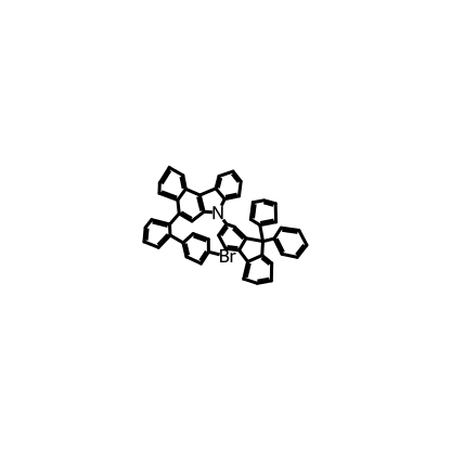 Brc1ccc(-c2ccccc2-c2cc3c(c4ccccc24)c2ccccc2n3-c2ccc3c(c2)C(c2ccccc2)(c2ccccc2)c2ccccc2-3)cc1